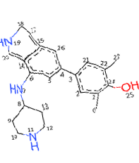 Cc1cc(-c2cc(NC3CCNCC3)c3c(c2)=CCNC=3)cc(C)c1O